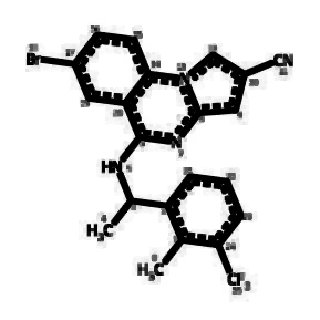 Cc1c(C(C)Nc2nc3cc(C#N)cn3c3ccc(Br)cc23)cccc1C(F)(F)F